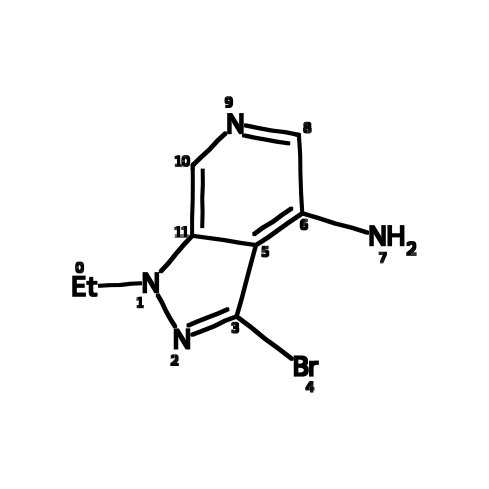 CCn1nc(Br)c2c(N)cncc21